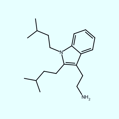 CC(C)CCc1c(CCN)c2ccccc2n1CCC(C)C